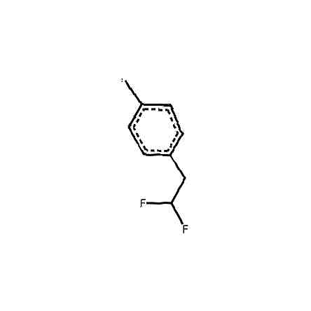 [CH]c1ccc(CC(F)F)cc1